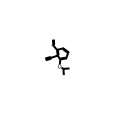 C#Cc1c([C]=C)cccc1OC(C)C